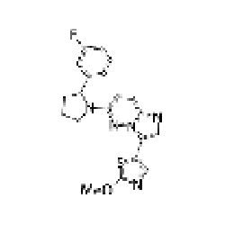 COc1ncc(-c2cnc3ccc(N4CCCC4c4cccc(F)c4)nn23)s1